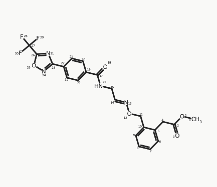 COC(=O)Cc1ccccc1CO/N=C/CNC(=O)c1ccc(-c2noc(C(F)(F)F)n2)cc1